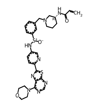 C=CC(=O)N[C@@H]1CCCN(Cc2cccc([S+]([O-])Nc3ccc(-c4nc5c(N6CCOCC6)ncnc5s4)nc3)c2)C1